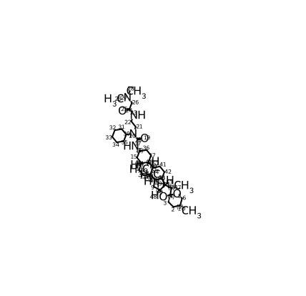 C[C@H]1CC[C@@]2(OC1)O[C@H]1C[C@H]3[C@@H]4CC[C@@H]5C[C@H](NC(=O)N(CCNC(=O)CN(C)C)C6CCCCC6)CC[C@]5(C)[C@H]4CC[C@]3(C)[C@H]1[C@@H]2C